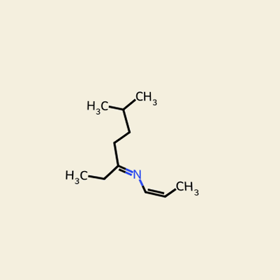 C/C=C\N=C(/CC)CCC(C)C